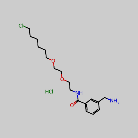 Cl.NCc1cccc(C(=O)NCCOCCOCCCCCCCl)c1